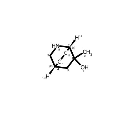 CC1(O)C[C@H]2CC[C@@H]1NC2